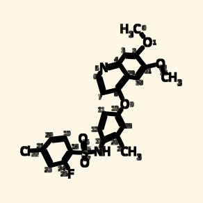 COc1cc2nccc(Oc3ccc(NS(=O)(=O)c4ccc(Cl)cc4F)c(C)c3)c2cc1OC